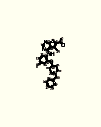 CC(=O)c1sc2ncnc(Nc3ccc(F)cc3OC3CCN(Cc4ccccn4)CC3)c2c1C